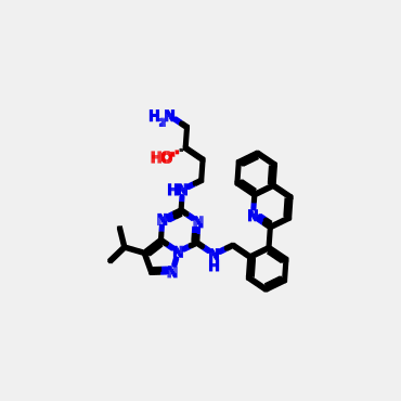 CC(C)c1cnn2c(NCc3ccccc3-c3ccc4ccccc4n3)nc(NCC[C@H](O)CN)nc12